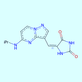 CC(C)Nc1ccn2ncc(/C=C3/NC(=O)NC3=O)c2n1